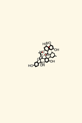 CC(C)=CCC12Oc3cc(O)ccc3C1(O)Oc1cc(O)c([C@@H]3C=C(C)C[C@@H](c4ccc(O)cc4O)[C@@H]3C(=O)c3ccc(O)cc3O)c(O)c1C2=O